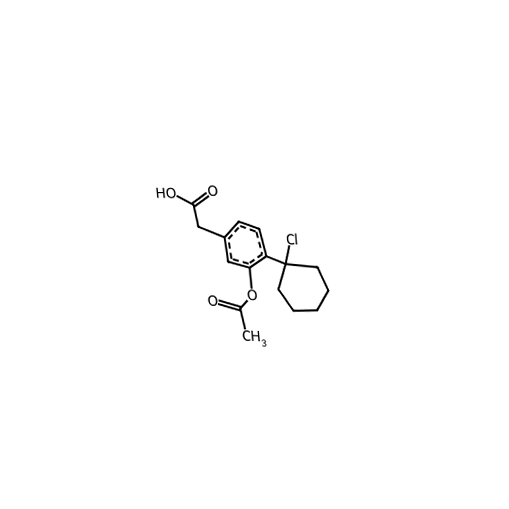 CC(=O)Oc1cc(CC(=O)O)ccc1C1(Cl)CCCCC1